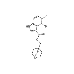 O=C(OCC12CCN(CC1)CC2)c1c[nH]c2ccc(F)c(Br)c12